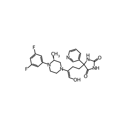 C[C@H]1CN(/C(=C/O)CCC2(c3cccnc3)NC(=O)NC2=O)CCN1c1cc(F)cc(F)c1